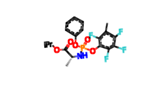 Cc1c(F)c(F)c(F)c(O[P@](=O)(N[C@H](C)C(=O)OC(C)C)Oc2ccccc2)c1F